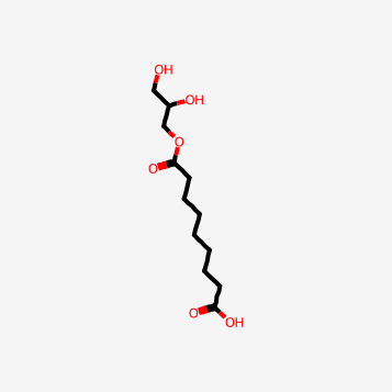 O=C(O)CCCCCCCC(=O)OCC(O)CO